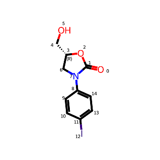 O=C1O[C@@H](CO)CN1c1ccc(I)cc1